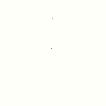 Cc1ccc(C(F)(F)F)nc1-c1ccccc1